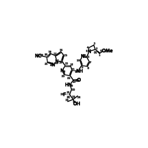 COC[C@@H]1CCN1c1ccc(Nc2cc(-c3ccc4cc(C#N)cnn34)ncc2C(=O)NC[C@@H](F)C(C)(C)O)cn1